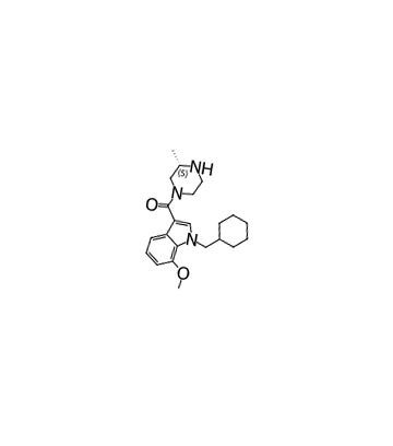 COc1cccc2c(C(=O)N3CCN[C@@H](C)C3)cn(CC3CCCCC3)c12